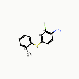 Nc1ccc(Sc2ccccc2[N+](=O)[O-])cc1F